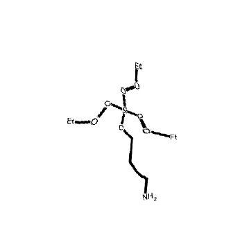 CCOO[Si](OCCCN)(OOCC)OOCC